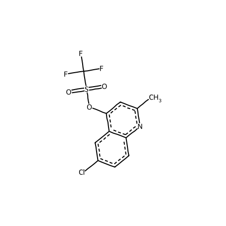 Cc1cc(OS(=O)(=O)C(F)(F)F)c2cc(Cl)ccc2n1